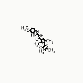 COc1ccc2nc(NC(=O)c3cc(C)n(-c4sc(C)nc4C)c3C)[nH]c2c1